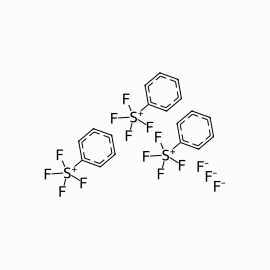 F[S+](F)(F)(F)c1ccccc1.F[S+](F)(F)(F)c1ccccc1.F[S+](F)(F)(F)c1ccccc1.[F-].[F-].[F-]